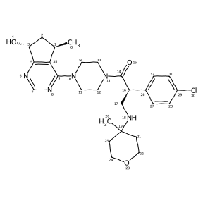 C[C@@H]1C[C@@H](O)c2ncnc(N3CCN(C(=O)[C@H](CNC4(C)CCOCC4)c4ccc(Cl)cc4)CC3)c21